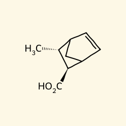 C[C@@H]1C2C=CC(C2)[C@H]1C(=O)O